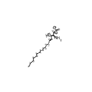 CCCCCCCCCCCCC/C=C/C(O)C(N)COC(C)=O